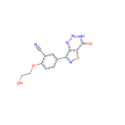 N#Cc1cc(-c2nsc3c(=O)[nH]nnc23)ccc1OCCO